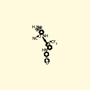 N#CCOc1cc(S(N)(=O)=O)ccc1NCC#Cc1cc2c(N[C@H]3CC[C@@H](N4CCOCC4)CC3)cccc2n1CC(F)(F)F